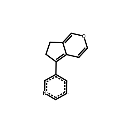 [c]1cncc(C2=C3C=COC=C3CC2)c1